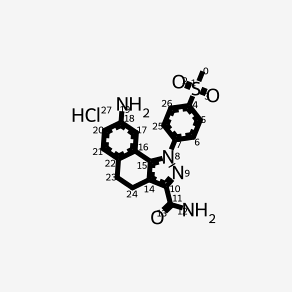 CS(=O)(=O)c1ccc(-n2nc(C(N)=O)c3c2-c2cc(N)ccc2CC3)cc1.Cl